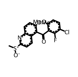 COc1ccc(Cl)c(F)c1C(=O)c1c(OC)ccc2nc([S+](C)[O-])ccc12